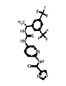 C[C@H](NC(=S)Nc1ccc(NC(=O)c2cscn2)nc1)c1cc(C(F)(F)F)cc(C(F)(F)F)c1